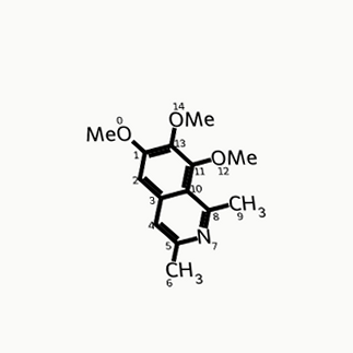 COc1cc2cc(C)nc(C)c2c(OC)c1OC